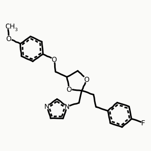 COc1ccc(OCC2COC(CCc3ccc(F)cc3)(Cn3ccnc3)O2)cc1